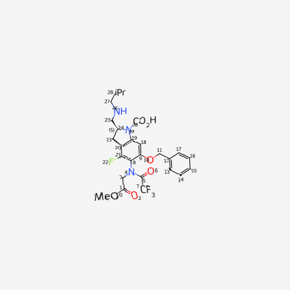 COC(=O)CN(C(=O)C(F)(F)F)c1c(OCc2ccccc2)cc2c(c1F)C[C@@H](CNCC(C)C)N2C(=O)O